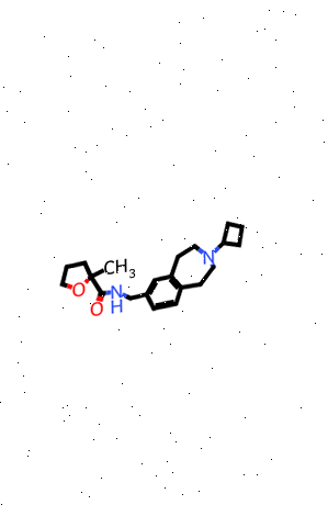 CC1(C(=O)NCc2ccc3c(c2)CCN(C2CCC2)CC3)CCCO1